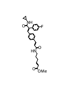 COC(=O)C=CCCCNC(=O)C=Cc1ccc(C=C(C(=O)NC2CC2)c2ccc(F)cc2)cc1